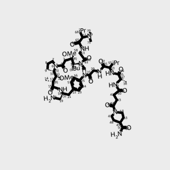 CC[C@H](C)[C@@H]([C@@H](CC(=O)N1CCC[C@H]1[C@H](OC)[C@@H](C)C(=O)N[C@H](CN)Cc1ccc(NC(=O)CNC(=O)C(NC(=O)[C@H](C)NC(=O)CCC(=O)N2CCC(C(N)=O)CC2)C(C)C)cc1)OC)N(C)C(=O)CNC(=O)C(C(C)C)N(C)C